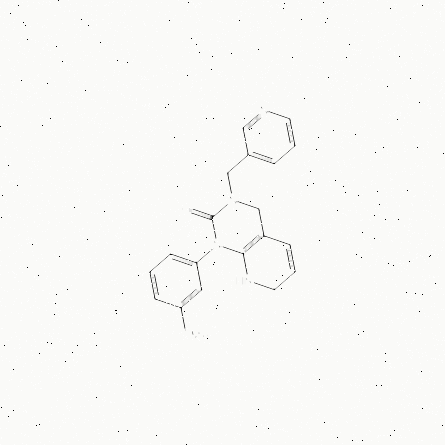 CSc1cccc(N2C(=O)N(Cc3cccnc3)CC3=C2NCC=C3)c1